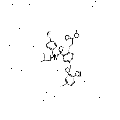 COC(=O)CCc1ccc(COc2cc(C)ccc2Cl)cc1C(=O)NC(CC(C)C)c1ccc(F)cc1